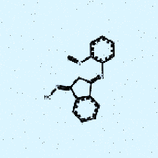 C=Nc1ccccc1/N=C1\C/C(=N/O)c2ccccc21